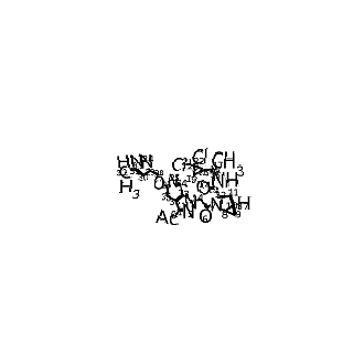 CC(=O)c1nn(CC(=O)N2C3C[C@@H]3C[C@H]2C(=O)N[C@H](C)C2CC2(Cl)Cl)c2cnc(OCc3cc(C)[nH]n3)cc12